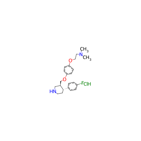 CN(C)CCOc1ccc(OC[C@@H]2CNCC[C@H]2c2ccc(F)cc2)cc1.Cl